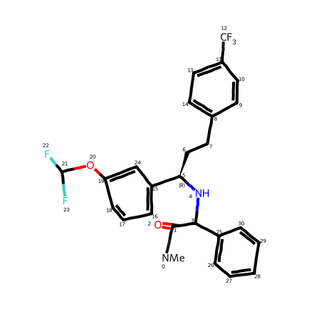 CNC(=O)C(N[C@H](CCc1ccc(C(F)(F)F)cc1)c1cccc(OC(F)F)c1)c1ccccc1